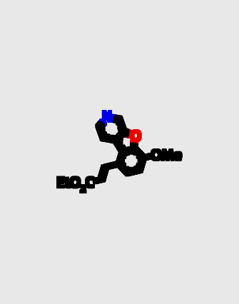 CCOC(=O)C=Cc1ccc(OC)c2oc3cnccc3c12